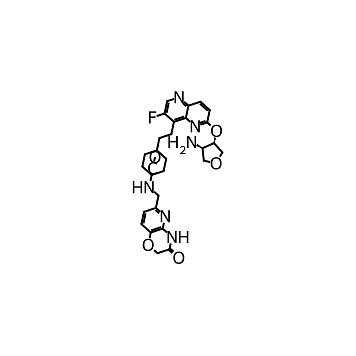 N[C@@H]1COC[C@@H]1Oc1ccc2ncc(F)c(CCC34CCC(NCc5ccc6c(n5)NC(=O)CO6)(CC3)CO4)c2n1